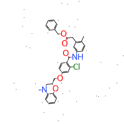 Cc1ccc(NC(=O)c2ccc(OC[C@@H]3CN(C)c4ccccc4O3)cc2Cl)cc1CC(=O)OCc1ccccc1